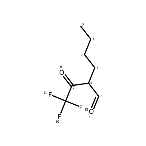 CCCCC([C]=O)C(=O)C(F)(F)F